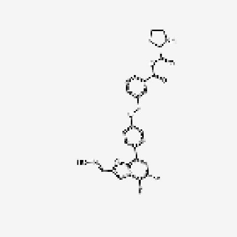 O=C(OC(=O)[C@@H]1CCCN1)c1cccc(COc2ccc(-c3cc(F)c(F)c4cc(C=NO)oc34)cc2)c1